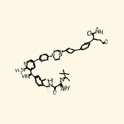 CNC(=O)C(CCC=O)c1ccc(C2CC(N3CCN(c4ccc(-c5cnc(N)c(C(=N)c6ccc([C@@H](C)NC(=O)C(=N)/N=C(\C)C(C)(C)C)c(C)c6)c5)cc4)CC3)C2)cc1